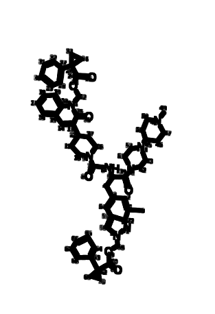 Cc1cc(CC(NC(=O)N2CCC(c3cc4ccccc4n(COC(=O)C4(c5ccccc5)CC4)c3=O)CC2)C(=O)N2CCN(C3CCN(C)CC3)CC2)cc2cn(COC(=O)C3(c4ccccc4)CC3)nc12